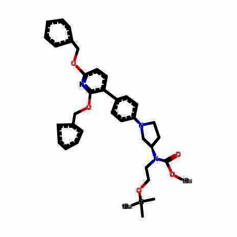 CC(C)(C)OC(=O)N(CCO[Si](C)(C)C(C)(C)C)[C@@H]1CCN(c2ccc(-c3ccc(OCc4ccccc4)nc3OCc3ccccc3)cc2)C1